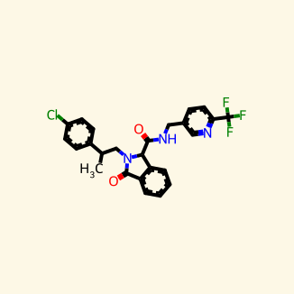 CC(CN1C(=O)c2ccccc2C1C(=O)NCc1ccc(C(F)(F)F)nc1)c1ccc(Cl)cc1